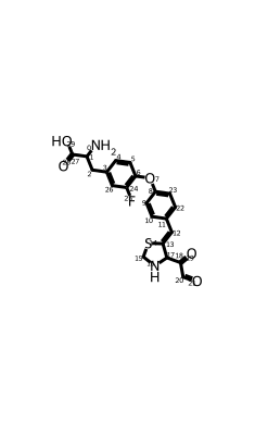 NC(Cc1ccc(Oc2ccc(C=C3SCNC3C(=O)C=O)cc2)c(F)c1)C(=O)O